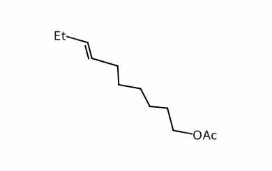 CCC=CCCCCCCOC(C)=O